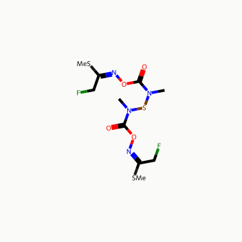 CSC(CF)=NOC(=O)N(C)SN(C)C(=O)ON=C(CF)SC